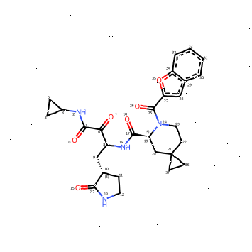 O=C(NC1CC1)C(=O)C(C[C@@H]1CCNC1=O)NC(=O)[C@@H]1CC2(CCN1C(=O)c1cc3ccccc3o1)CC2